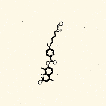 Cc1cc(=O)oc2c(C)c(OC(=O)c3ccc(OCCCC[Si]C=O)cc3)ccc12